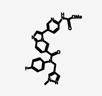 COC(=O)Nc1ccc(-c2cnc3ccc(C(=O)N(Cc4cnn(C)c4)c4ccc(F)cc4)cn23)cn1